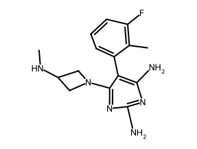 CNC1CN(c2nc(N)nc(N)c2-c2cccc(F)c2C)C1